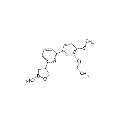 CCOc1cc(-c2cccc(C3COB(O)C3)n2)ccc1SC